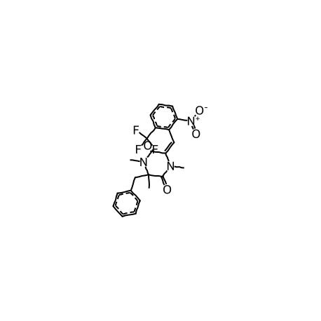 CN1C(=O)C(C)(Cc2ccccc2)N(C)C(=O)C1=Cc1c([N+](=O)[O-])cccc1C(F)(F)F